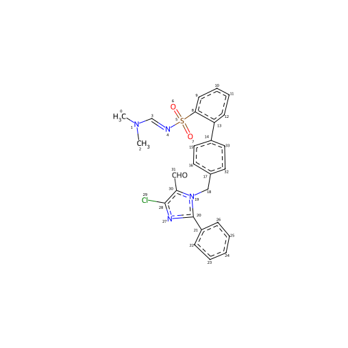 CN(C)/C=N/S(=O)(=O)c1ccccc1-c1ccc(Cn2c(-c3ccccc3)nc(Cl)c2C=O)cc1